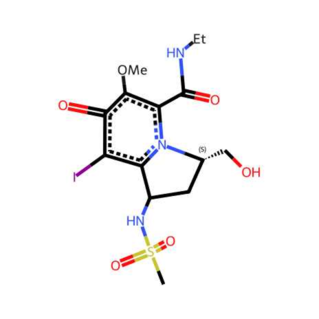 CCNC(=O)c1c(OC)c(=O)c(I)c2n1[C@H](CO)CC2NS(C)(=O)=O